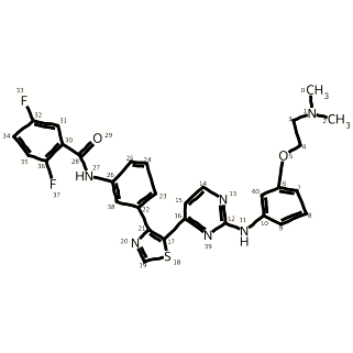 CN(C)CCOc1cccc(Nc2nccc(-c3scnc3-c3cccc(NC(=O)c4cc(F)ccc4F)c3)n2)c1